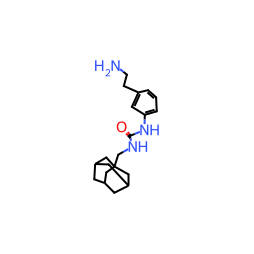 NCCc1cccc(NC(=O)NCC23CC4CC(CC(C4)C2)C3)c1